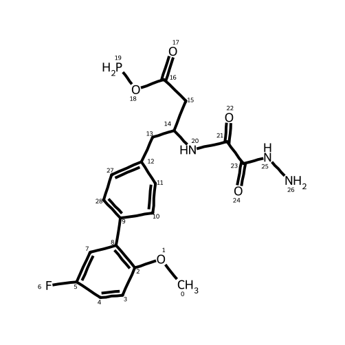 COc1ccc(F)cc1-c1ccc(CC(CC(=O)OP)NC(=O)C(=O)NN)cc1